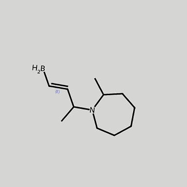 B/C=C/C(C)N1CCCCCC1C